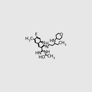 CCC(CCNc1nc2cc(F)c(C)cc2cc1C(=N)NC(C)O)NC1CCOCC1